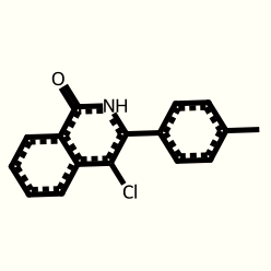 Cc1ccc(-c2[nH]c(=O)c3ccccc3c2Cl)cc1